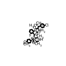 COC(=O)N(C(=O)[C@@H](N)[C@@H](c1ccc(Cl)cc1)C(C)C)c1cccc(F)c1CC[C@H]1CNC[C@H](C)N1S(=O)(=O)c1ccc(OC)cc1